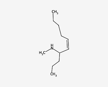 CCCC/C=C\C(CCC)NC